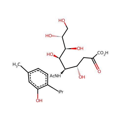 CC(=O)N[C@@H]([C@@H](O)[C@H](O)[C@H](O)CO)[C@@H](O)CC(=O)C(=O)O.Cc1ccc(C(C)C)c(O)c1